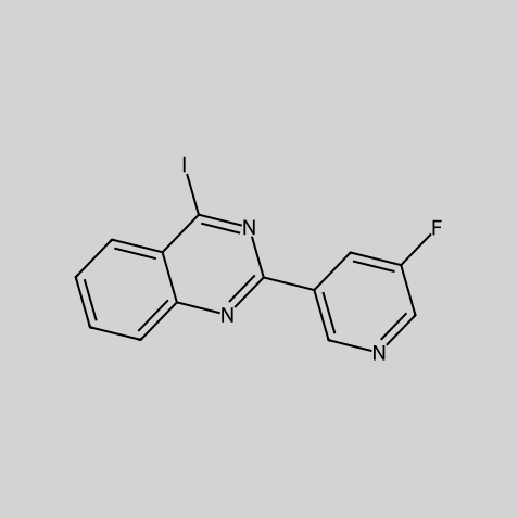 Fc1cncc(-c2nc(I)c3ccccc3n2)c1